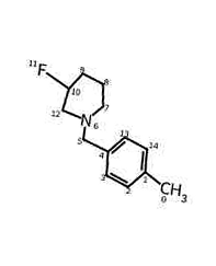 Cc1ccc(CN2CCCC(F)C2)cc1